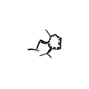 CN/C=c1/c(C)cccc1=C(C)C